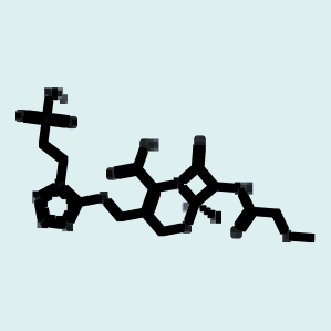 CSCC(=O)NC1C(=O)N2C(C(=O)O)=C(CSc3nnnn3CCS(N)(=O)=O)CS[C@H]12